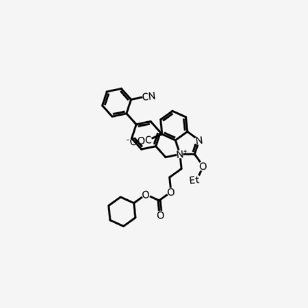 CCOC1=Nc2cccc(C(=O)[O-])c2[N+]1(CCOC(=O)OC1CCCCC1)Cc1ccc(-c2ccccc2C#N)cc1